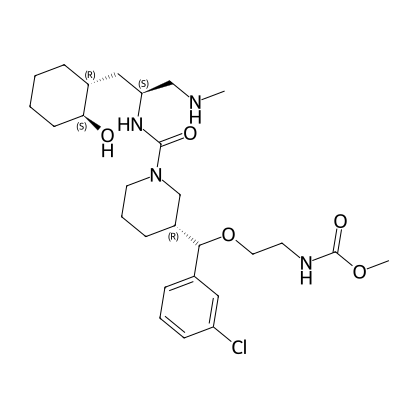 CNC[C@H](C[C@H]1CCCC[C@@H]1O)NC(=O)N1CCC[C@@H](C(OCCNC(=O)OC)c2cccc(Cl)c2)C1